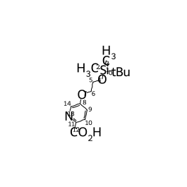 CC(C)(C)[Si](C)(C)OCCOc1ccc(C(=O)O)nc1